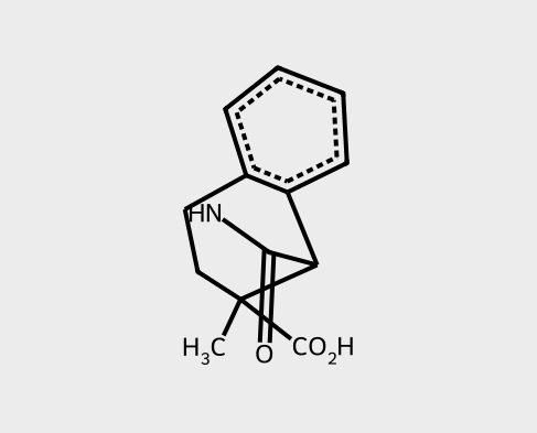 CC1(C(=O)O)CC2NC(=O)C1c1ccccc12